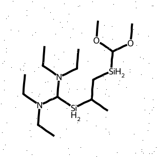 CCN(CC)C([SiH2]C(C)C[SiH2]C(OC)OC)N(CC)CC